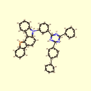 c1ccc(-c2ccc(-c3nc(-c4ccccc4)nc(-c4cccc(-n5c6ccccc6c6c7sc8ccccc8c7ccc65)c4)n3)cc2)cc1